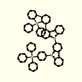 c1ccc([Si](c2ccccc2)(c2ccccc2)c2ccc(-n3c4ccccc4c4ccc(-n5c6ccccc6c6c(-c7cccc8c7[Si](c7ccccc7)(c7ccccc7)c7ccccc7-8)cccc65)cc43)cc2)cc1